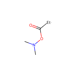 C[CH]C(=O)ON(C)C